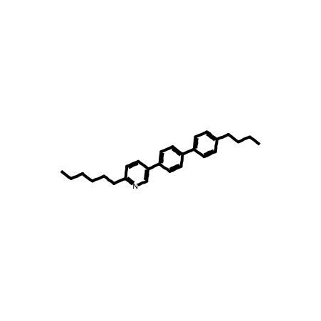 CCCCCCc1ccc(-c2ccc(-c3ccc(CCCC)cc3)cc2)cn1